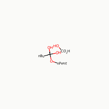 CCCCCOC(O)(O)CCCC.O=C(O)O